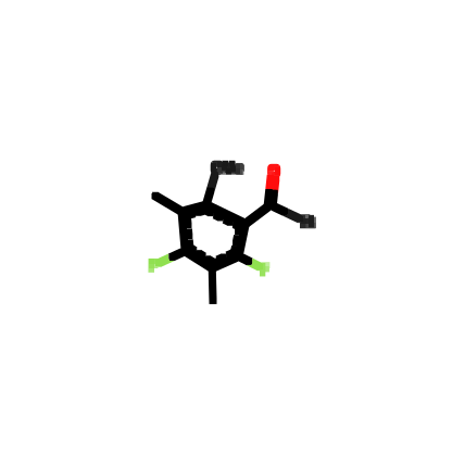 CCC(=O)c1c(F)c(C)c(F)c(C)c1OC